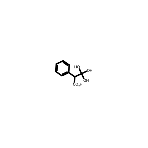 O=C(O)C(c1ccccc1)C(O)(O)O